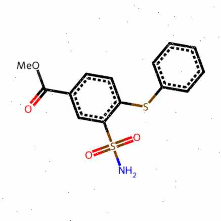 COC(=O)c1ccc(Sc2ccccc2)c(S(N)(=O)=O)c1